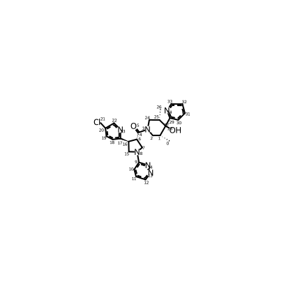 C[C@@H]1CN(C(=O)[C@@H]2CN(c3cccnn3)C[C@H]2c2ccc(Cl)cn2)C[C@H](C)C1(O)c1ccccn1